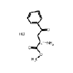 COC(=O)[C@@H](N)CC(=O)c1ccccc1.Cl